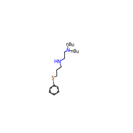 CCCCN(CCCC)CCNCCCSc1ccccc1